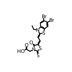 CCN1/C(=C/C=C2/SC(=S)N(CC(=O)O)C2=O)Sc2cc(Br)c(Br)cc21